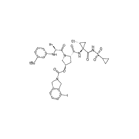 CC[C@@H]1C[C@]1(NC(=O)[C@@H]1C[C@@H](OC(=O)N2Cc3cccc(I)c3C2)CN1C(=O)[C@@H](Nc1cccc(C(C)(C)C)c1)C(C)C)C(=O)NS(=O)(=O)C1CC1